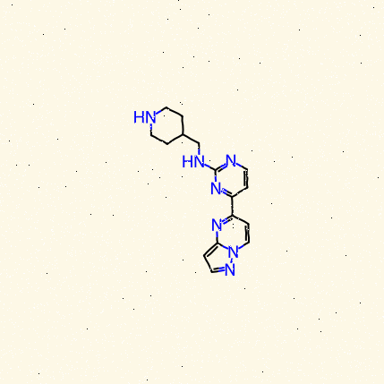 c1cc(-c2ccn3nccc3n2)nc(NCC2CCNCC2)n1